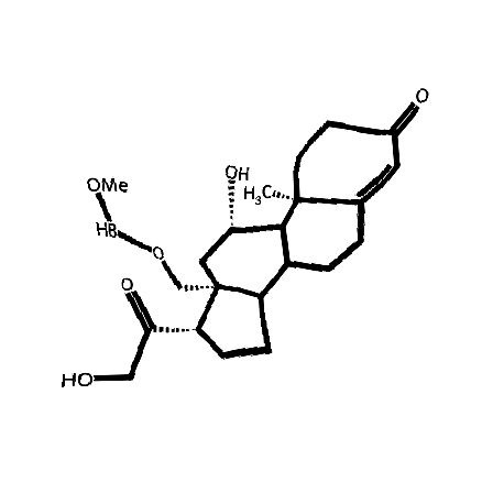 COBOC[C@]12C[C@H](O)C3C(CCC4=CC(=O)CC[C@@]43C)C1CC[C@@H]2C(=O)CO